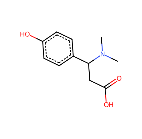 CN(C)C(CC(=O)O)c1ccc(O)cc1